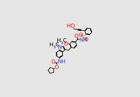 COc1cc(C(=O)NS(=O)(=O)c2ccccc2C#CCO)ccc1Cc1cn(C)c2ccc(NC(=O)OC3CCCC3)cc12